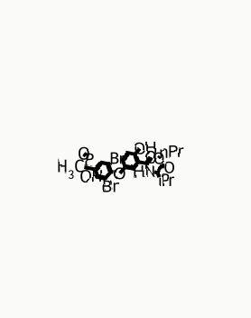 CCCOC(=O)C(NC(=O)c1cc(Oc2c(Br)cc(C(C)(O)P=O)cc2Br)ccc1O)C(C)C